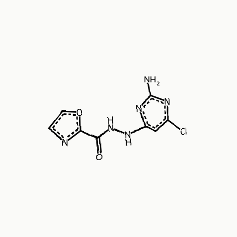 Nc1nc(Cl)cc(NNC(=O)c2ncco2)n1